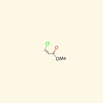 COC(=O)/C=[C]\Cl